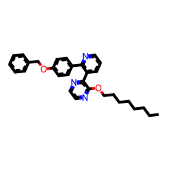 CCCCCCCCOc1nccnc1-c1cccnc1-c1ccc(OCc2ccccc2)cc1